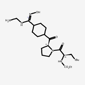 CCOC(=O)N[C@H](CC(C)(C)C)C(=O)N1CCC[C@H]1C(=O)C1CCC(/C(=N\O)NCN)CC1